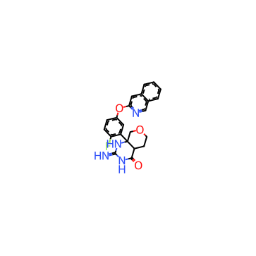 N=C1NC(=O)C2CCOCC2(c2cc(Oc3cc4ccccc4cn3)ccc2F)N1